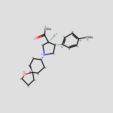 COC(=O)[C@]1(F)CN([C@H]2CC[C@]3(CCCO3)CC2)C[C@H]1c1ccc(OC)cc1